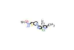 Cc1cnc(-c2cc(N3CCC4C=C(NC(=O)C(C)C)SC4C3)ncc2Cl)c(C)c1